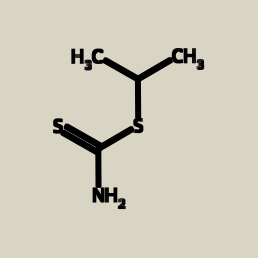 CC(C)SC(N)=S